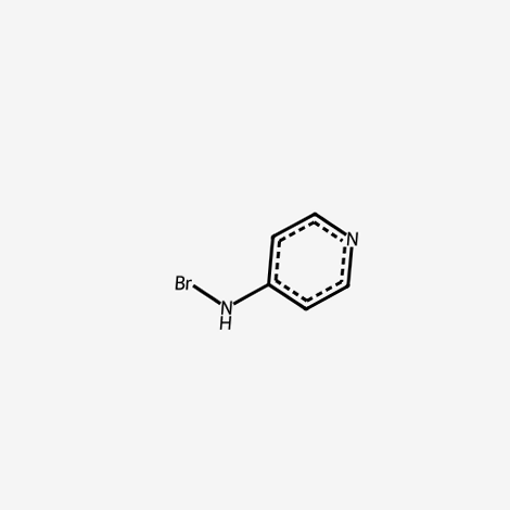 BrNc1ccncc1